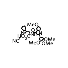 COc1ccc2nc(-c3cc(OC)c(OC)c(OC)c3)cc(C(=O)N[C@H](Cc3cn(CCCCC#N)c4ccccc34)C(=O)O)c2c1